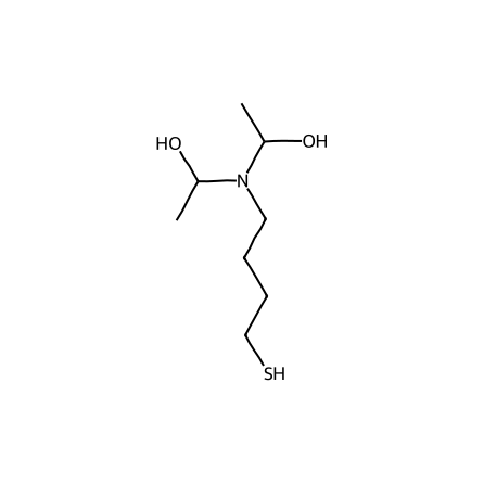 CC(O)N(CCCCS)C(C)O